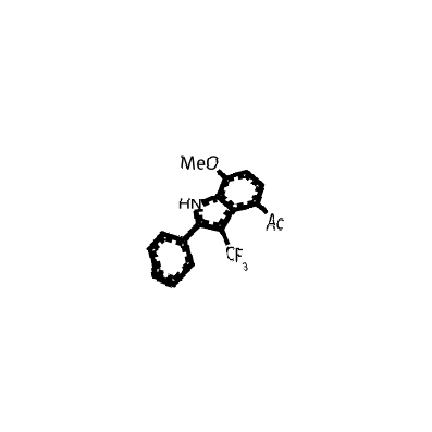 COc1ccc(C(C)=O)c2c(C(F)(F)F)c(-c3ccccc3)[nH]c12